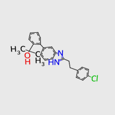 CC(C)(O)c1ccccc1-c1ccc2[nH]c(CCc3ccc(Cl)cc3)nc2c1